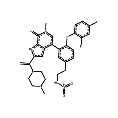 CN1CCN(C(=O)c2cc3c(-c4cc(CCN[SH](=O)=O)ccc4Oc4ccc(F)cc4F)cn(C)c(=O)c3[nH]2)CC1